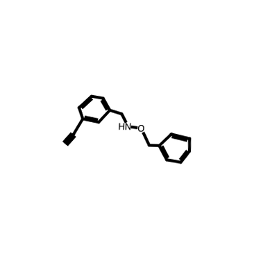 C#Cc1cccc(CNOCc2ccccc2)c1